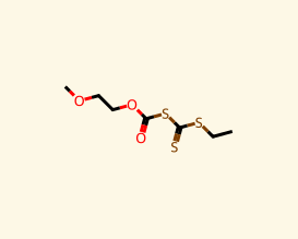 CCSC(=S)SC(=O)OCCOC